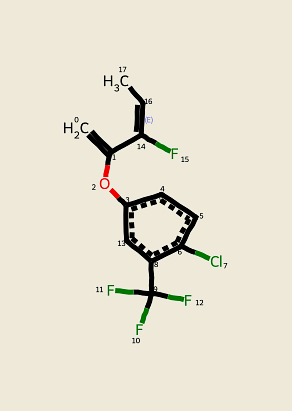 C=C(Oc1ccc(Cl)c(C(F)(F)F)c1)/C(F)=C\C